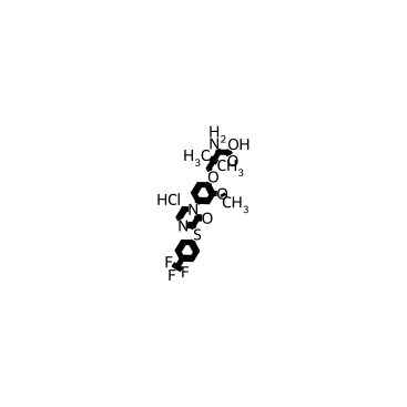 COc1cc(-n2ccnc(Sc3ccc(C(F)(F)F)cc3)c2=O)ccc1OCC(C)(C)C(N)C(=O)O.Cl